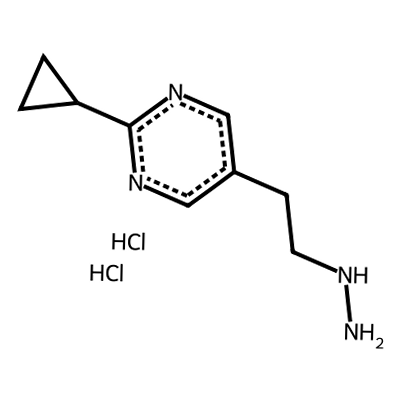 Cl.Cl.NNCCc1cnc(C2CC2)nc1